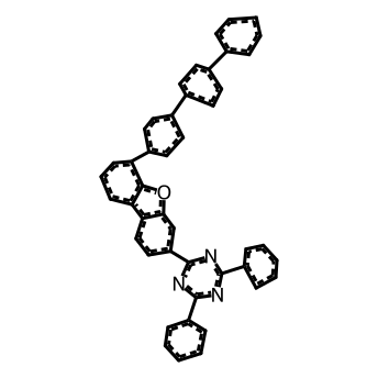 c1ccc(-c2ccc(-c3ccc(-c4cccc5c4oc4cc(-c6nc(-c7ccccc7)nc(-c7ccccc7)n6)ccc45)cc3)cc2)cc1